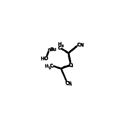 CC(C#N)OC(C)C#N.CCCCO